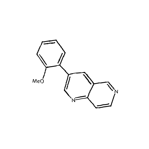 COc1ccccc1-c1cnc2ccncc2c1